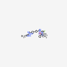 C[C@@H]1CN[C@H](c2ncc(-c3ccc(-c4ccc(-c5cnc([C@@H]6C[C@H](F)CN6C(=O)[C@@H](c6ccccc6)N(C)C)[nH]5)cc4)cc3)[nH]2)C1